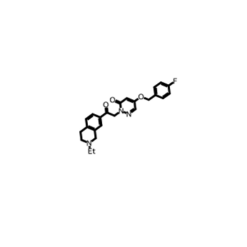 CCN1CCc2ccc(C(=O)Cn3ncc(OCc4ccc(F)cc4)cc3=O)cc2C1